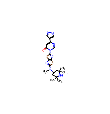 CN(c1nc2sc(-n3cnc(-c4cn[nH]c4)cc3=O)nc2s1)C1CC(C)(C)NC(C)(C)C1